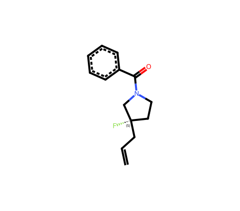 C=CC[C@]1(F)CCN(C(=O)c2ccccc2)C1